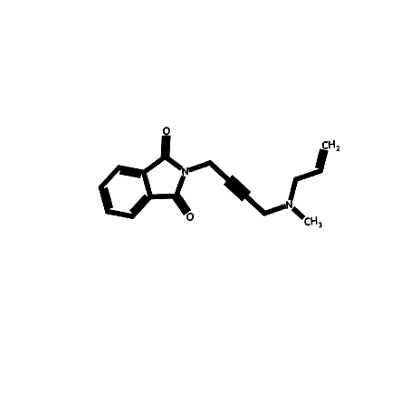 C=CCN(C)CC#CCN1C(=O)c2ccccc2C1=O